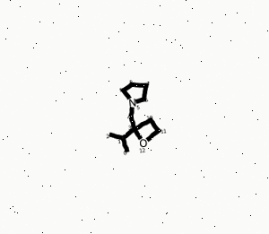 CC(C)C1(CN2CCCC2)CCO1